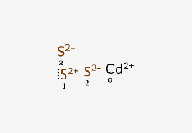 [Cd+2].[S+2].[S-2].[S-2]